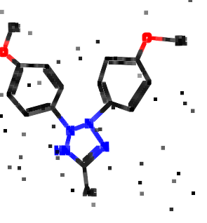 CCOc1ccc(N2N=C(C(C)=O)NN2c2ccc(OCC)cc2)cc1